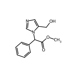 COC(=O)C(c1ccccc1)n1cncc1CO